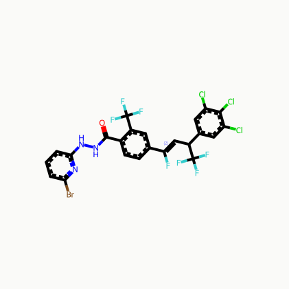 O=C(NNc1cccc(Br)n1)c1ccc(/C(F)=C/C(c2cc(Cl)c(Cl)c(Cl)c2)C(F)(F)F)cc1C(F)(F)F